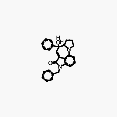 O=C1C2=C[C@](O)(c3ccccc3)[C@@H]3CCCN3c3cccc(c32)N1Cc1ccccc1